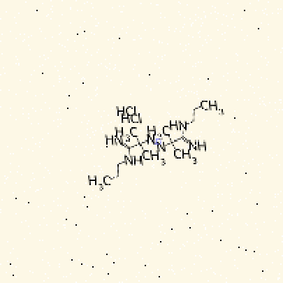 CCCNC(=N)C(C)(C)/N=N/C(C)(C)C(=N)NCCC.Cl.Cl